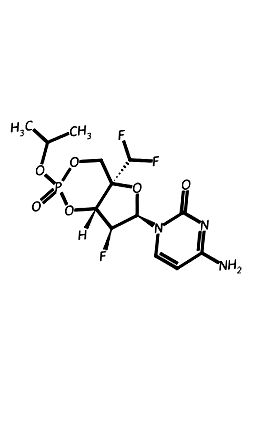 CC(C)OP1(=O)OC[C@@]2(C(F)F)O[C@@H](n3ccc(N)nc3=O)[C@@H](F)[C@@H]2O1